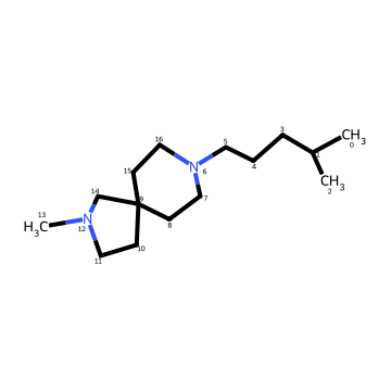 CC(C)CCCN1CCC2(CCN(C)C2)CC1